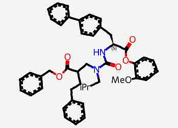 COc1ccccc1OC(=O)[C@H](Cc1ccc(-c2ccccc2)cc1)NC(=O)N(CC(C)C)CC(CCc1ccccc1)C(=O)OCc1ccccc1